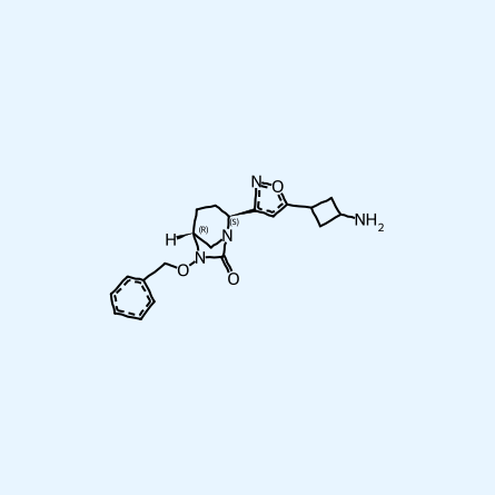 NC1CC(c2cc([C@@H]3CC[C@@H]4CN3C(=O)N4OCc3ccccc3)no2)C1